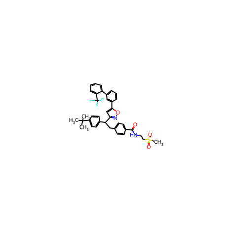 CC(C)(C)c1ccc(C(Cc2ccc(C(=O)NCCS(C)(=O)=O)cc2)c2cc(-c3cccc(-c4ccccc4C(F)(F)F)c3)on2)cc1